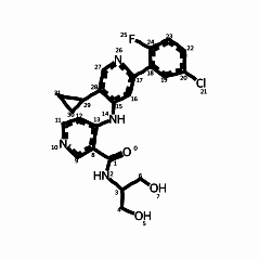 O=C(NC(CO)CO)c1cnccc1Nc1cc(-c2cc(Cl)ccc2F)ncc1C1CC1